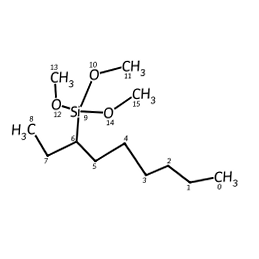 CCCCCCC(CC)[Si](OC)(OC)OC